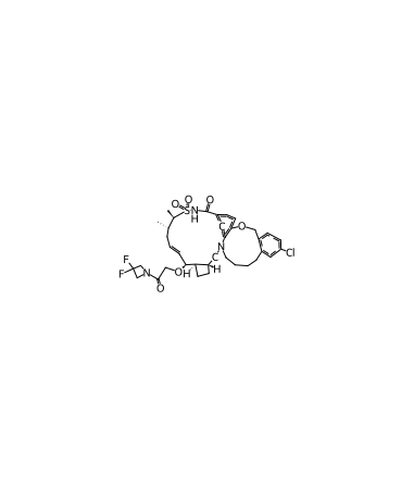 C[C@@H]1[C@@H](C)C/C=C/[C@H](OCC(=O)N2CC(F)(F)C2)[C@@H]2CC[C@H]2CN2CCCCc3cc(Cl)ccc3COc3ccc(cc32)C(=O)NS1(=O)=O